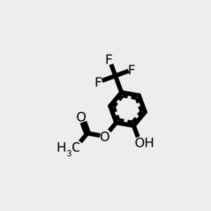 CC(=O)Oc1cc(C(F)(F)F)ccc1O